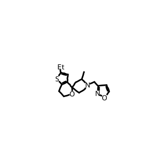 CCc1cc2c(s1)CCOC21CCN(Cc2ccon2)C(C)C1